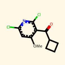 COc1cc(Cl)nc(Cl)c1C(=O)C1CCC1